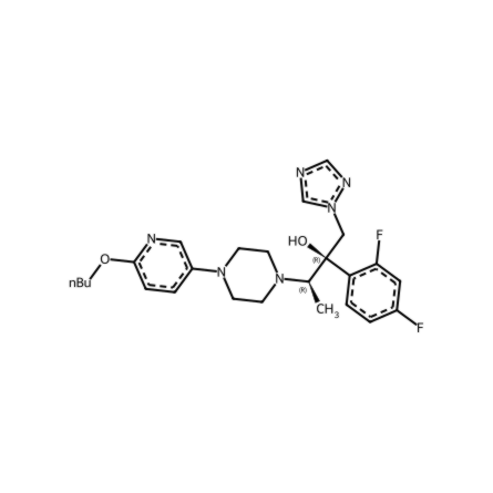 CCCCOc1ccc(N2CCN([C@H](C)[C@](O)(Cn3cncn3)c3ccc(F)cc3F)CC2)cn1